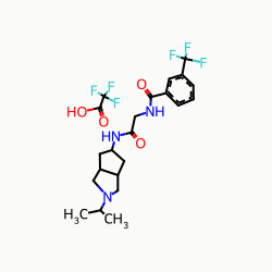 CC(C)N1CC2CC(NC(=O)CNC(=O)c3cccc(C(F)(F)F)c3)CC2C1.O=C(O)C(F)(F)F